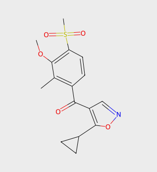 COc1c(S(C)(=O)=O)ccc(C(=O)c2cnoc2C2CC2)c1C